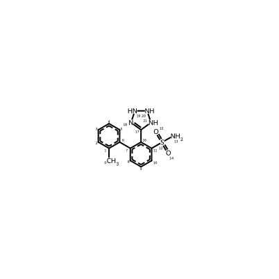 Cc1ccccc1-c1cccc(S(N)(=O)=O)c1C1=NNNN1